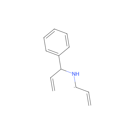 C=C[CH]NC(C=C)c1ccccc1